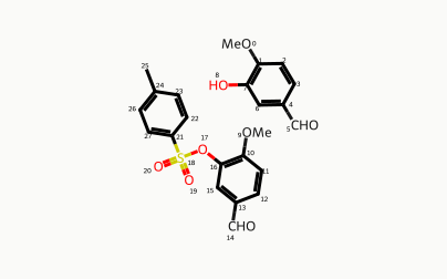 COc1ccc(C=O)cc1O.COc1ccc(C=O)cc1OS(=O)(=O)c1ccc(C)cc1